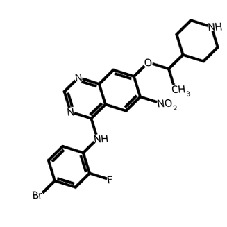 CC(Oc1cc2ncnc(Nc3ccc(Br)cc3F)c2cc1[N+](=O)[O-])C1CCNCC1